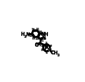 CN1CC2CCC1CN2C(=O)c1n[nH]c2ccc(N)cc12